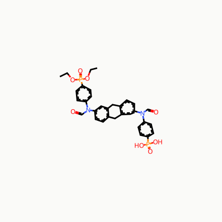 CCOP(=O)(OCC)c1ccc(N(C=O)c2ccc3c(c2)Cc2ccc(N(C=O)c4ccc(P(=O)(O)O)cc4)cc2C3)cc1